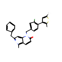 CCCc1nc(Cc2ccccc2)cc2c1ccc(=O)n2Cc1ccc(-c2cc(CC)sc2S(=O)(=O)O)c(Cl)c1